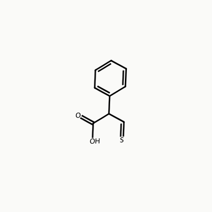 O=C(O)C(C=S)c1ccccc1